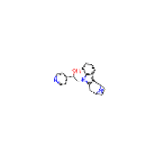 OC(Cn1c2c(c3ccccc31)C1CCC(C2)N1)c1ccncc1